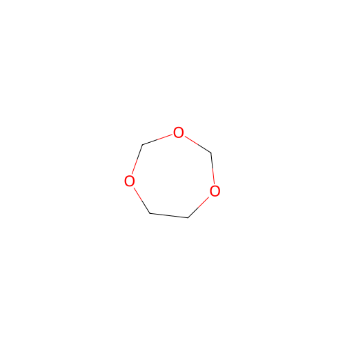 C1COCOCO1